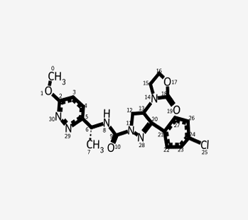 COc1ccc([C@@H](C)NC(=O)N2CC(N3CCOC3=O)C(c3ccc(Cl)cc3)=N2)nn1